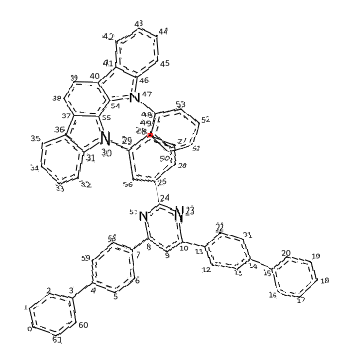 c1ccc(-c2ccc(-c3cc(-c4ccc(-c5ccccc5)cc4)nc(-c4cccc(-n5c6ccccc6c6ccc7c8ccccc8n(-c8ccccc8)c7c65)c4)n3)cc2)cc1